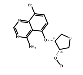 CCO[C@H]1COC[C@H]1Oc1ccc(Br)c2ncnc(N)c12